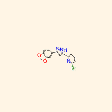 BrC1=NC(c2cc(-c3ccc4c(c3)OCO4)n[nH]2)CC=C1